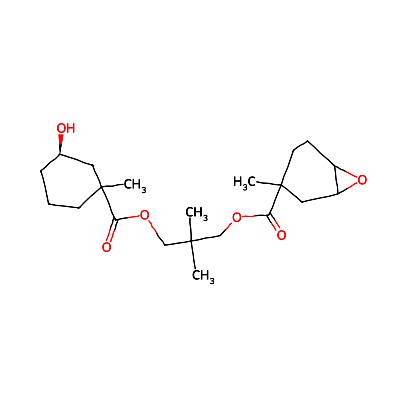 CC(C)(COC(=O)C1(C)CCC2OC2C1)COC(=O)C1(C)CCC[C@@H](O)C1